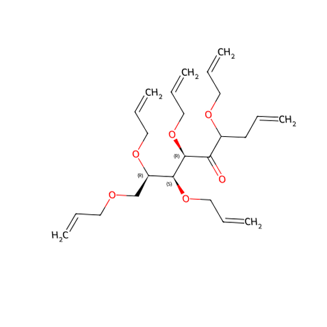 C=CCOC[C@@H](OCC=C)[C@H](OCC=C)[C@@H](OCC=C)C(=O)C(CC=C)OCC=C